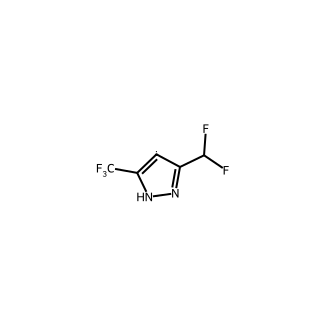 FC(F)c1[c]c(C(F)(F)F)[nH]n1